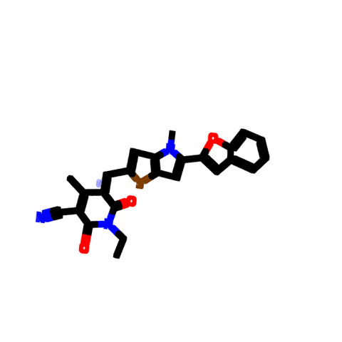 CCN1C(=O)C(C#N)=C(C)/C(=C/c2cc3c(cc(-c4cc5ccccc5o4)n3C)s2)C1=O